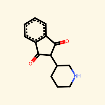 O=C1c2ccccc2C(=O)C1C1CCCNC1